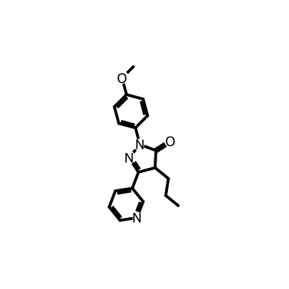 CCCC1C(=O)N(c2ccc(OC)cc2)N=C1c1cccnc1